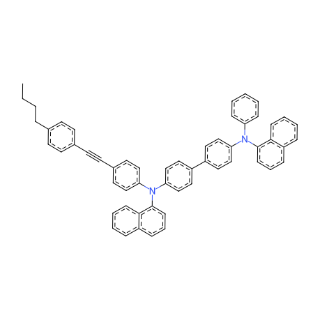 CCCCc1ccc(C#Cc2ccc(N(c3ccc(-c4ccc(N(c5ccccc5)c5cccc6ccccc56)cc4)cc3)c3cccc4ccccc34)cc2)cc1